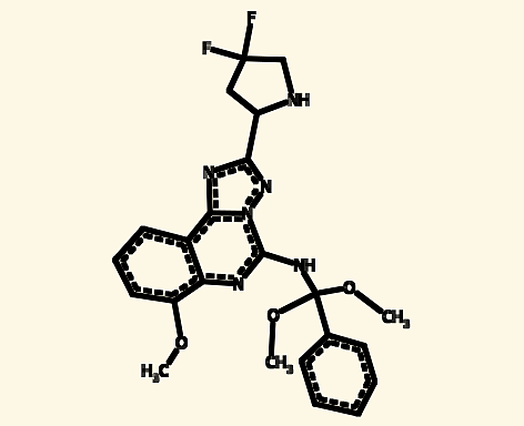 COc1cccc2c1nc(NC(OC)(OC)c1ccccc1)n1nc(C3CC(F)(F)CN3)nc21